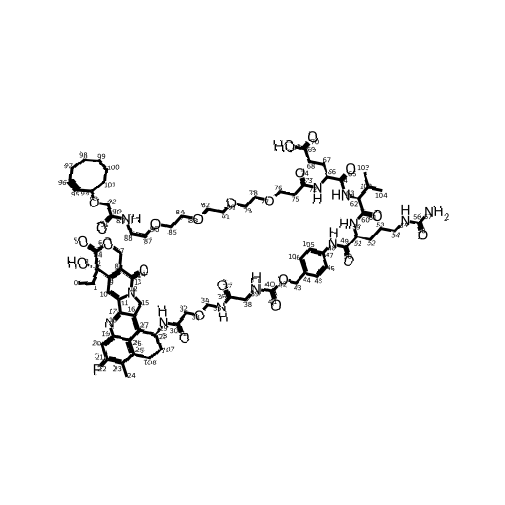 CC[C@@]1(O)C(=O)OCc2c1cc1n(c2=O)Cc2c-1nc1cc(F)c(C)c3c1c2[C@@H](NC(=O)COCNC(=O)CNC(=O)OCc1ccc(NC(=O)[C@H](CCCNC(N)=O)NC(=O)[C@@H](NC(=O)[C@H](CCC(=O)O)NC(=O)CCOCCOCCOCCOCCNC(=O)COC2C#CCCCCC2)C(C)C)cc1)CC3